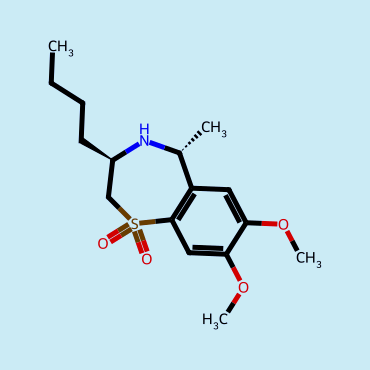 CCCC[C@@H]1CS(=O)(=O)c2cc(OC)c(OC)cc2[C@@H](C)N1